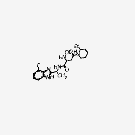 CC[C@H]1CCCCN1C(=O)C[C@H](NC(=O)O)C(=O)N[C@@H](C)c1nc2c(F)cccc2[nH]1